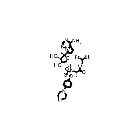 CCC(CC)COC(=O)[C@H](C)NP(=O)(OC[C@H]1O[C@@](C)(c2ccc3c(N)ncnn23)[C@H](O)[C@@H]1O)Oc1ccc(N2CCOCC2)cc1